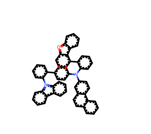 c1ccc(N(c2ccc(-c3ccccc3-n3c4ccccc4c4ccccc43)cc2)c2ccc3c(ccc4ccccc43)c2)c(-c2cccc3oc4ccccc4c23)c1